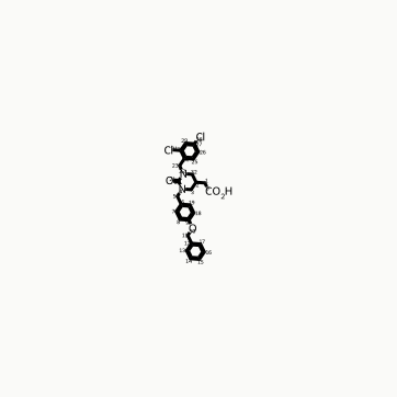 O=C(O)CC1CN(Cc2ccc(OCc3ccccc3)cc2)C(=O)N(Cc2ccc(Cl)cc2Cl)C1